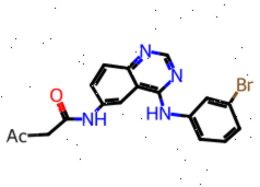 CC(=O)CC(=O)Nc1ccc2ncnc(Nc3cccc(Br)c3)c2c1